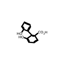 O=C(O)c1cccc(O)c1-c1ccccc1O